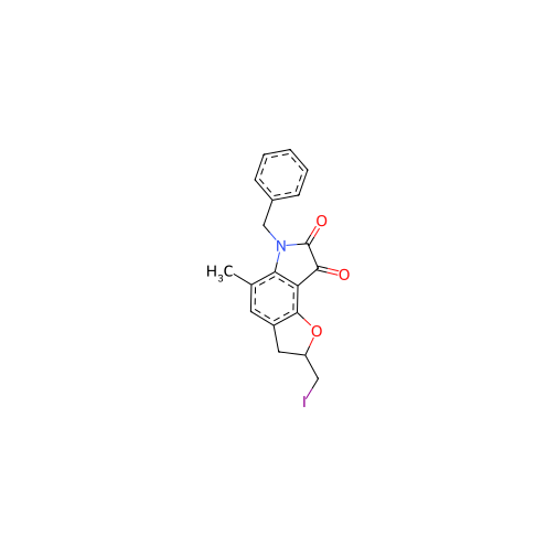 Cc1cc2c(c3c1N(Cc1ccccc1)C(=O)C3=O)OC(CI)C2